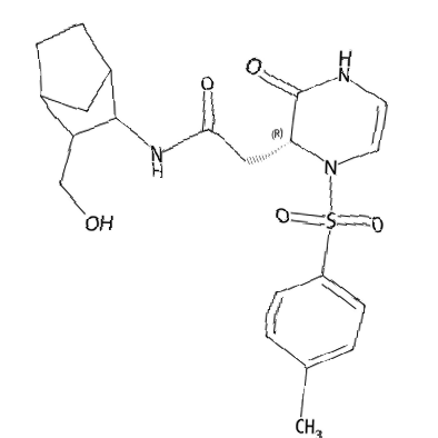 Cc1ccc(S(=O)(=O)N2C=CNC(=O)[C@H]2CC(=O)NC2C3CCC(C3)C2CO)cc1